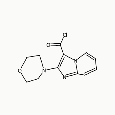 O=C(Cl)c1c(N2CCOCC2)nc2ccccn12